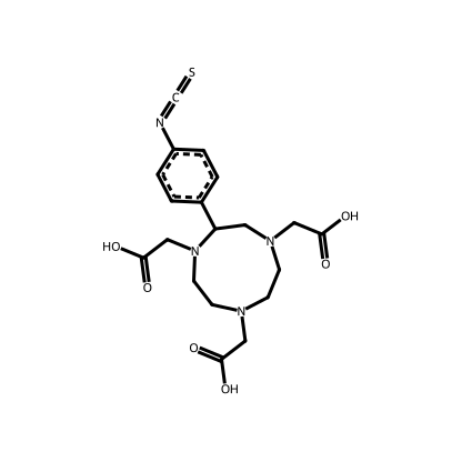 O=C(O)CN1CCN(CC(=O)O)CC(c2ccc(N=C=S)cc2)N(CC(=O)O)CC1